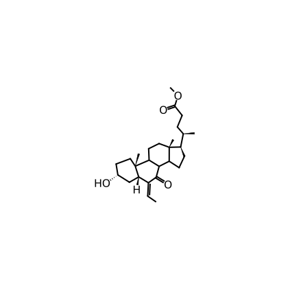 C/C=C1\C(=O)C2C3CC[C@H]([C@H](C)CCC(=O)OC)[C@@]3(C)CCC2[C@@]2(C)CC[C@@H](O)C[C@@H]12